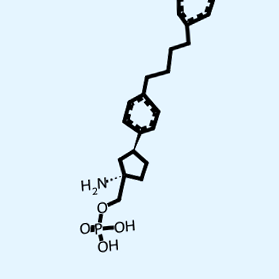 N[C@@]1(COP(=O)(O)O)CC[C@H](c2ccc(CCCCc3ccccc3)cc2)C1